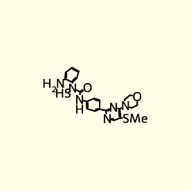 CSc1cnc(-c2ccc(NC(=O)N(S)c3ccccc3N)cc2)nc1N1CCOCC1